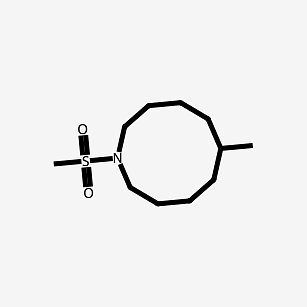 CC1CCCCN(S(C)(=O)=O)CCCC1